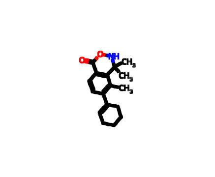 Cc1c(C2=CCCCC2)ccc2c1C(C)(C)NOC2=O